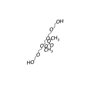 COC(=O)OC.OCCOCCOCCOCCOCCO